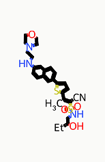 CCC(O)CNS(=O)(=O)/C(C#N)=C(\C)c1ccc(-c2ccc3cc(NCCN4CCOCC4)ccc3c2)s1